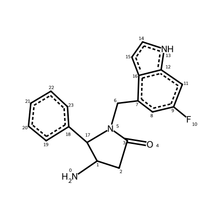 NC1CC(=O)N(Cc2cc(F)cc3[nH]ccc23)C1c1ccccc1